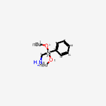 CCCCO[Si](CN)(OCCCC)c1ccccc1